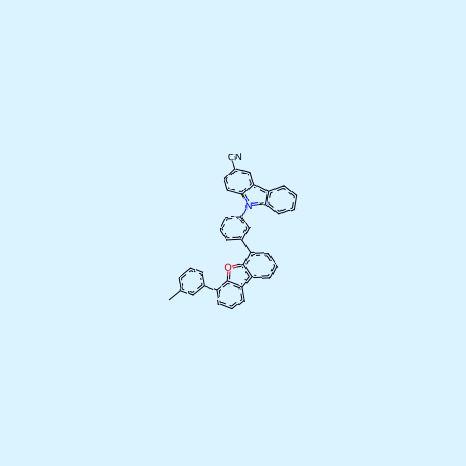 Cc1cccc(-c2cccc3c2oc2c(-c4cccc(-n5c6ccccc6c6cc(C#N)ccc65)c4)cccc23)c1